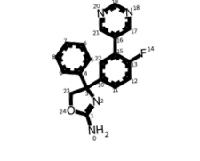 NC1=NC(c2ccccc2)(c2ccc(F)c(-c3cncnc3)c2)CO1